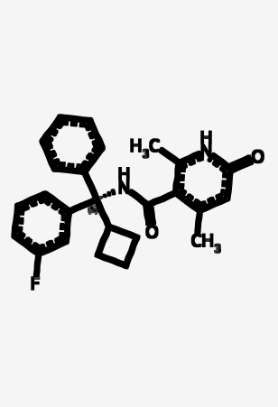 Cc1cc(=O)[nH]c(C)c1C(=O)N[C@@](c1ccccc1)(c1cccc(F)c1)C1CCC1